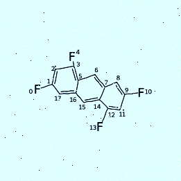 Fc1[c]c(F)c2cc3cc(F)[c]c(F)c3cc2c1